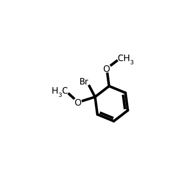 COC1C=CC=CC1(Br)OC